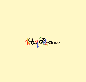 COc1ccc(-c2nc(C3(c4c(Cl)cc(NC(=O)Cc5ccc(C(C)[SH](=O)=O)cc5)cc4Cl)CC3)no2)c(F)c1